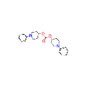 O=C(OC1CCN(c2ccccc2)CC1)OC1CCN(c2ccccc2)CC1